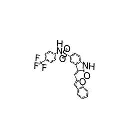 O=C1Nc2ccc(S(=O)(=O)Nc3ccc(C(F)(F)F)cc3)cc2C1=Cc1cc2ccccc2o1